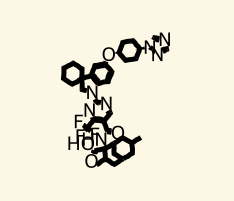 CC1CC2CC(C)C(NC(=O)c3cnc(N4CC5(CCCCC5)c5cc(O[C@H]6CC[C@H](n7cncn7)CC6)ccc54)nc3C(F)(F)F)(C(=O)O)C(C1)C2